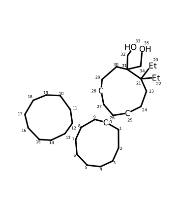 C1CCCCCCCCC1.C1CCCCCCCCC1.CCC1(CC)CCCCCCCCC1(CO)CO